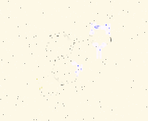 c1cc(-c2nnc[nH]2)c2ncc3ccsc3c2c1